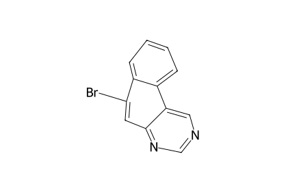 Brc1cc2ncncc2c2ccccc12